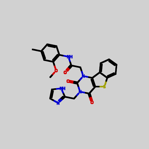 COc1cc(C)ccc1NC(=O)Cn1c(=O)n(Cc2ncc[nH]2)c(=O)c2sc3ccccc3c21